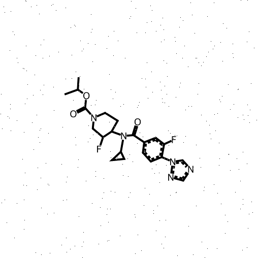 CC(C)OC(=O)N1CCC(N(C(=O)c2ccc(-n3cncn3)c(F)c2)C2CC2)C(F)C1